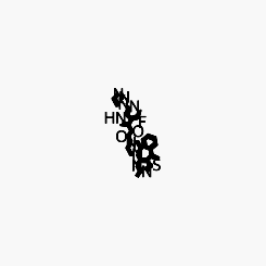 Cc1nc(N2CCN(C(=O)C(=O)c3c[nH]c4c(-n5ccnn5)ncc(F)c34)CC2)c2c(-c3ccccc3)csc2n1